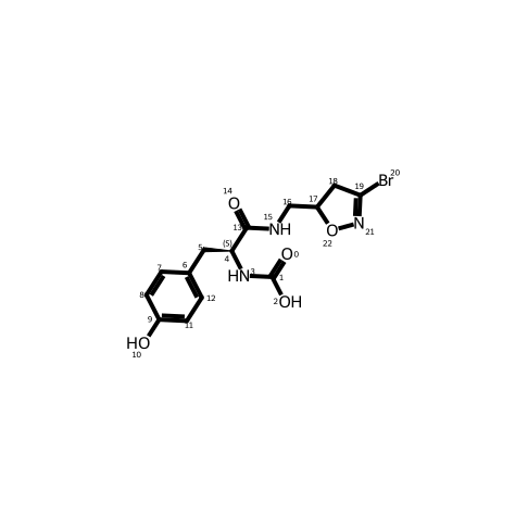 O=C(O)N[C@@H](Cc1ccc(O)cc1)C(=O)NCC1CC(Br)=NO1